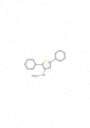 O=C(O)Nc1cc(-c2ccccc2)sc1-c1ccccc1